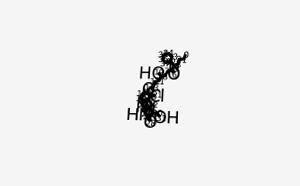 CCCCN(C(=O)CCC(O)CCCOc1ccc2c(c1Cl)CN1C(=N2)NC(=O)C1CO)C1CCCCC1